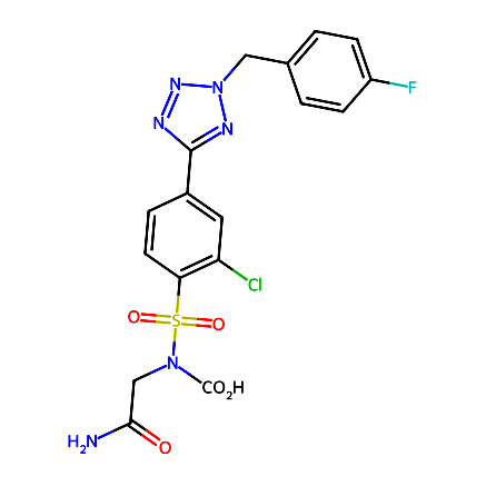 NC(=O)CN(C(=O)O)S(=O)(=O)c1ccc(-c2nnn(Cc3ccc(F)cc3)n2)cc1Cl